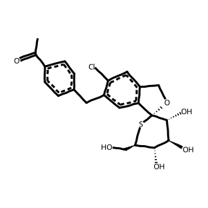 CC(=O)c1ccc(Cc2cc3c(cc2Cl)CO[C@]32S[C@H](CO)[C@@H](O)[C@H](O)[C@H]2O)cc1